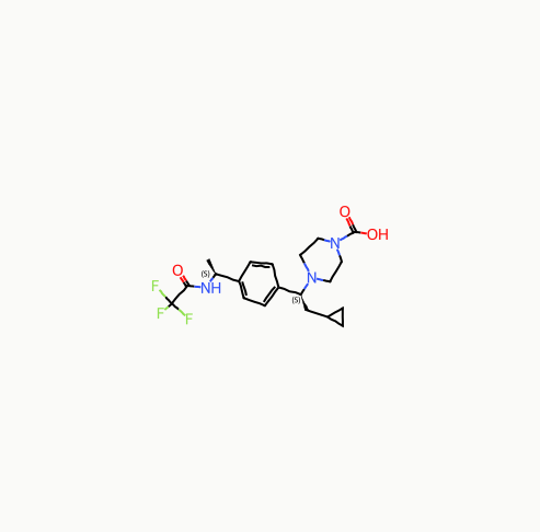 C[C@H](NC(=O)C(F)(F)F)c1ccc([C@H](CC2CC2)N2CCN(C(=O)O)CC2)cc1